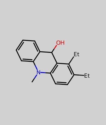 CCc1ccc2c(c1CC)C(O)c1ccccc1N2C